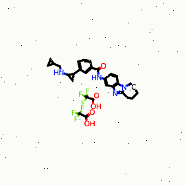 O=C(Nc1ccc2c(c1)nc1n2CCCCC1)c1cccc(C2CC2NCC2CC2)c1.O=C(O)C(F)(F)F.O=C(O)C(F)(F)F